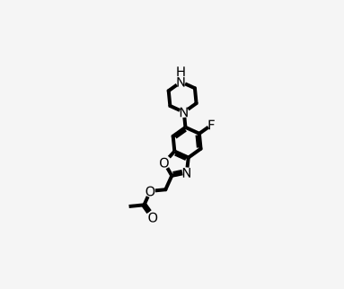 CC(=O)OCc1nc2cc(F)c(N3CCNCC3)cc2o1